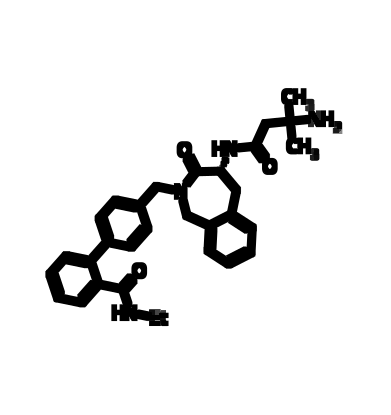 CCNC(=O)c1ccccc1-c1ccc(CN2Cc3ccccc3C[C@@H](NC(=O)CC(C)(C)N)C2=O)cc1